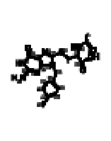 CC(=O)NC(CSc1nc2c(=O)[nH]c(N)nc2n1Cc1ccc(F)cc1)C(=O)O